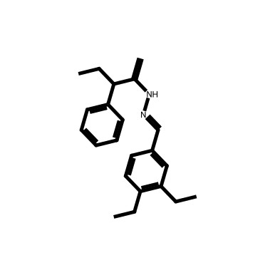 C=C(N/N=C/c1ccc(CC)c(CC)c1)C(CC)c1ccccc1